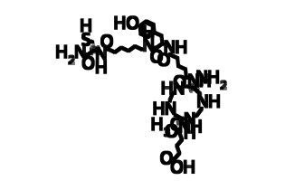 C[C@]1(NC(=O)CCCC(=O)O)CNCCNC[C@@](CN)(NC(=O)CCCC(=O)NC(Cc2ccc(O)cc2)C(=O)NCCCCCC(=O)N[C@@H](CS)C(N)=O)CNCCN1